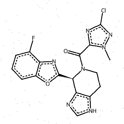 Cn1nc(Cl)nc1C(=O)N1CCc2[nH]cnc2[C@H]1c1nc2c(F)cccc2o1